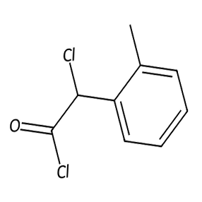 Cc1ccccc1C(Cl)C(=O)Cl